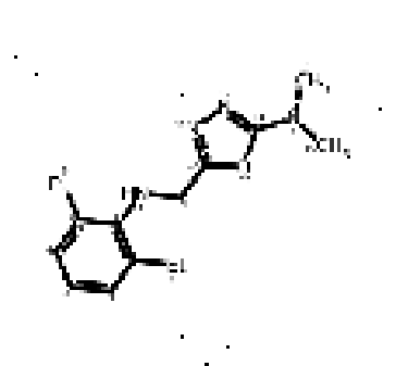 CCc1cccc(CC)c1NCc1nnc(N(C)C)o1